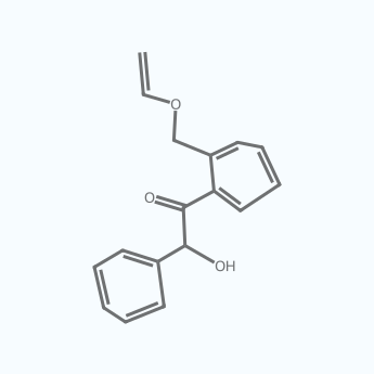 C=COCc1ccccc1C(=O)C(O)c1ccccc1